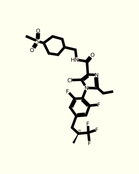 CCc1nc(C(=O)NCC2CCC(S(C)(=O)=O)CC2)c(Cl)n1-c1c(F)cc(C[C@H](C)C(F)(F)F)cc1F